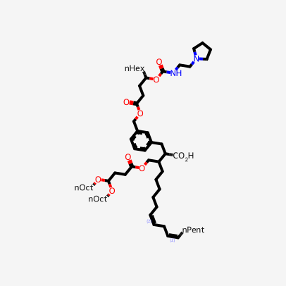 CCCCC/C=C\C/C=C\CCCCCC(COC(=O)CCC(OCCCCCCCC)OCCCCCCCC)C(Cc1cccc(COC(=O)CCC(CCCCCC)OC(=O)NCCN2CCCC2)c1)C(=O)O